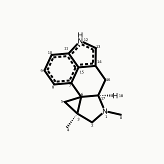 CN1C[C@@]2(C)CC23c2cccc4[nH]cc(c24)C[C@@H]13